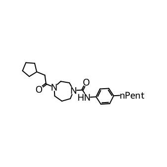 CCCCCc1ccc(NC(=O)N2CCCN(C(=O)CC3CCCC3)CC2)cc1